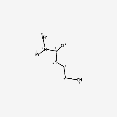 CC(C)N(C(C)C)P(Cl)SCCC#N